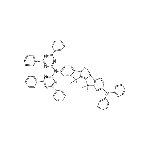 CC1(C)c2cc(N(c3ccccc3)c3ccccc3)ccc2-c2ccc3c(c21)C(C)(C)c1cc(N(c2nc(-c4ccccc4)nc(-c4ccccc4)n2)c2nc(-c4ccccc4)nc(-c4ccccc4)n2)ccc1-3